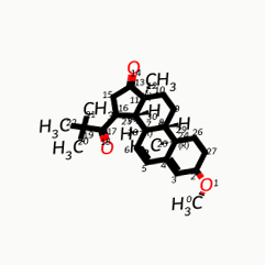 COC1C=C2C=C[C@@H]3[C@H](CC[C@]4(C)C(=O)CC(C(=O)C(C)(C)C)[C@@H]34)[C@@]2(C)CC1